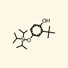 CC(C)[Si](Oc1ccc(O)c(C(C)(C)C)c1)(C(C)C)C(C)C